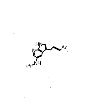 CC(=O)/C=C/Cc1c[nH]c2ncc(NC(C)C)cc12